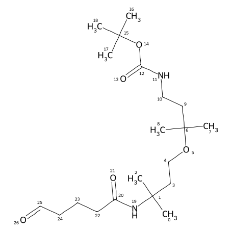 CC(C)(CCOC(C)(C)CCNC(=O)OC(C)(C)C)NC(=O)CCCC=O